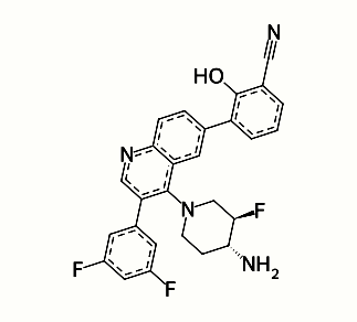 N#Cc1cccc(-c2ccc3ncc(-c4cc(F)cc(F)c4)c(N4CC[C@@H](N)[C@H](F)C4)c3c2)c1O